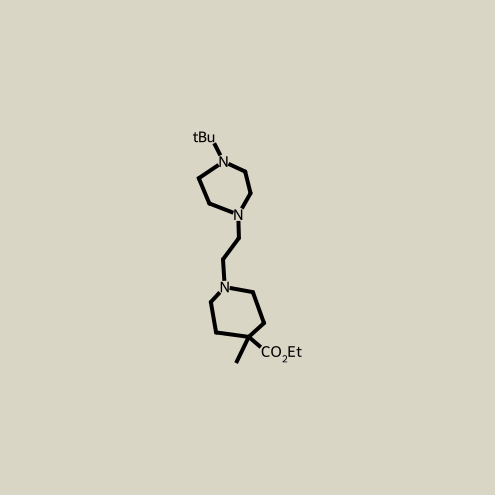 CCOC(=O)C1(C)CCN(CCN2CCN(C(C)(C)C)CC2)CC1